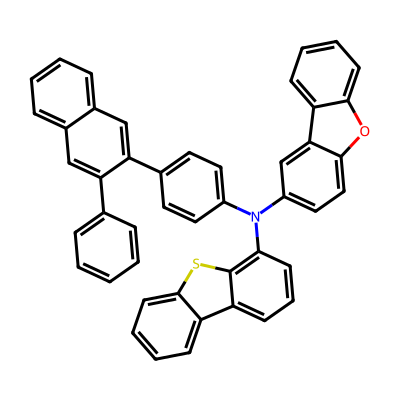 c1ccc(-c2cc3ccccc3cc2-c2ccc(N(c3ccc4oc5ccccc5c4c3)c3cccc4c3sc3ccccc34)cc2)cc1